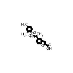 Cc1ccc(S(=O)(=O)NC(C)c2ccc3oc(C(=O)O)cc3c2)c(C)c1